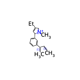 C/C=C\C(=C/C)c1cccc(C2C=C(CC)C=[N+]2C)c1